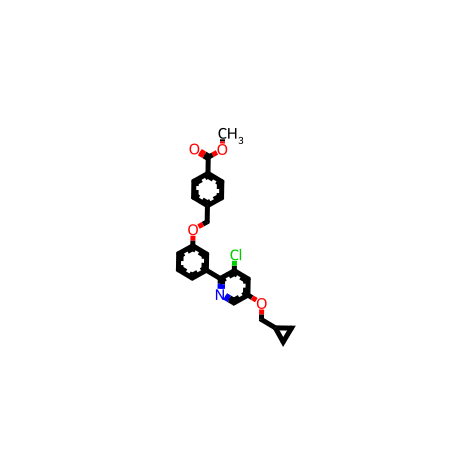 COC(=O)c1ccc(COc2cccc(-c3ncc(OCC4CC4)cc3Cl)c2)cc1